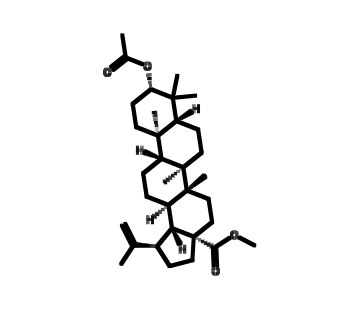 C=C(C)[C@@H]1CC[C@]2(C(=O)OC)CC[C@]3(C)[C@H](CC[C@@H]4[C@@]5(C)CC[C@H](OC(C)=O)C(C)(C)[C@@H]5CC[C@]43C)[C@@H]12